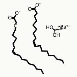 CCCCCCCC/C=C\CCCCCCCC(=O)[O-].CCCCCCCC/C=C\CCCCCCCC(=O)[O-].OP(O)O.[Ba+2]